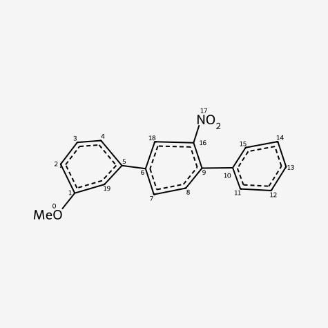 COc1[c]ccc(-c2ccc(-c3ccccc3)c([N+](=O)[O-])c2)c1